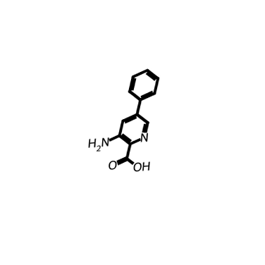 Nc1cc(-c2ccccc2)cnc1C(=O)O